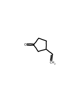 C=CC1CCC(=O)C1